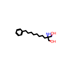 NC(CO)(CO)CCCCCCCCc1ccccc1